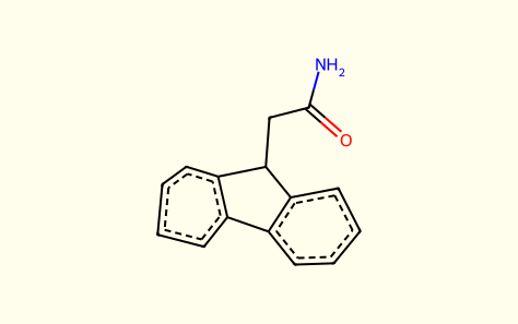 NC(=O)CC1c2ccccc2-c2ccccc21